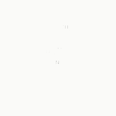 C=CCOC(=O)NCc1ccccc1